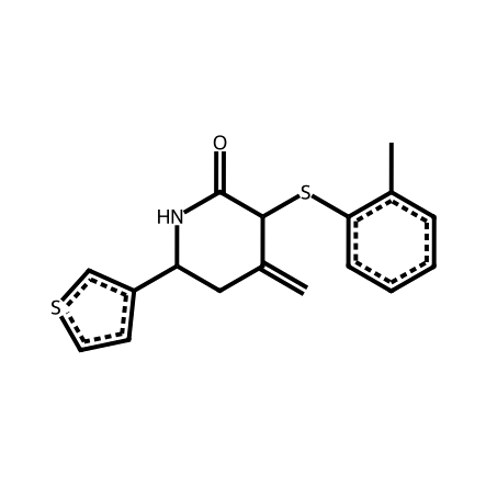 C=C1CC(c2ccsc2)NC(=O)C1Sc1ccccc1C